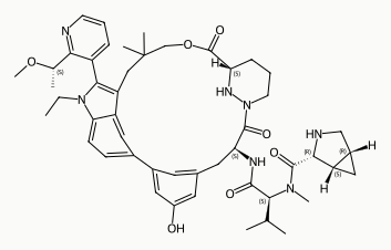 CCn1c(-c2cccnc2[C@H](C)OC)c2c3cc(ccc31)-c1cc(O)cc(c1)C[C@H](NC(=O)[C@H](C(C)C)N(C)C(=O)[C@@H]1NC[C@@H]3C[C@@H]31)C(=O)N1CCC[C@H](N1)C(=O)OCC(C)(C)C2